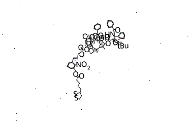 CC(=O)O[C@@]12COC1C[C@H](OC(=O)OC/C=C/c1cccc(COC(=O)CCCCC3CCSS3)c1[N+](=O)[O-])[C@@]1(C)C(=O)[C@H](C)C3=C(C)C(OC(=O)[C@H](O[Si](C)(C)C(C)(C)C)C(NC(=O)c4ccccc4)c4ccccc4)C[C@@](O)([C@@H](OC(=O)c4ccccc4)[C@@H]12)C3(C)C